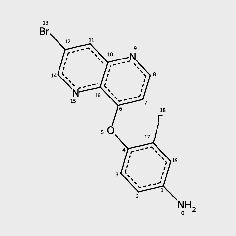 Nc1ccc(Oc2ccnc3cc(Br)cnc23)c(F)c1